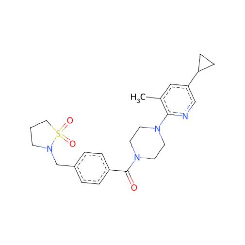 Cc1cc(C2CC2)cnc1N1CCN(C(=O)c2ccc(CN3CCCS3(=O)=O)cc2)CC1